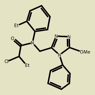 CCc1ccccc1N(Cc1nnc(OC)n1-c1ccccc1)C(=O)C(Cl)CC